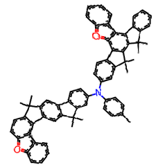 Cc1ccc(N(c2ccc3c(c2)C(C)(C)c2cc4c(cc2-3)C(C)(C)c2ccc3oc5ccccc5c3c2-4)c2ccc3c(c2)C(C)(C)c2c4c(c5c(oc6ccccc65)c2-3)-c2ccccc2C4(C)C)cc1